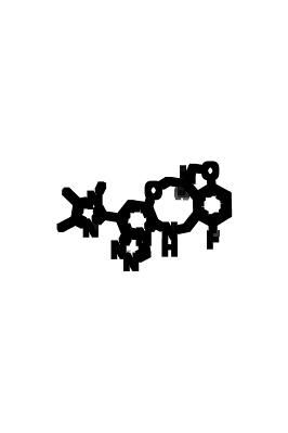 Cc1nc(-c2cc3c(n4cnnc24)NCc2c(F)ccc4c2[C@H](CO4)CO3)n(C)c1C